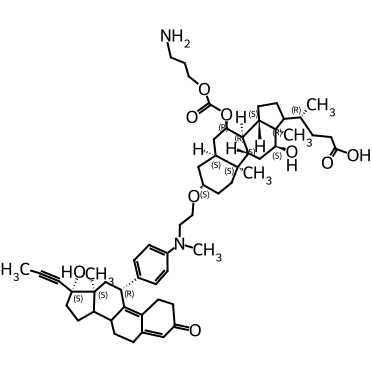 CC#C[C@]1(O)CCC2C3CCC4=CC(=O)CCC4=C3[C@@H](c3ccc(N(C)CCO[C@H]4CC[C@@]5(C)[C@@H](C4)C[C@@H](OC(=O)OCCCN)[C@@H]4[C@@H]5C[C@H](O)[C@]5(C)C([C@H](C)CCC(=O)O)CC[C@@H]45)cc3)C[C@@]21C